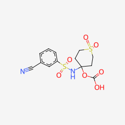 N#Cc1cccc(S(=O)(=O)NC2(OC(=O)O)CCS(=O)(=O)CC2)c1